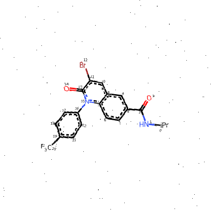 CC(C)NC(=O)c1ccc2c(c1)cc(Br)c(=O)n2-c1ccc(C(F)(F)F)cc1